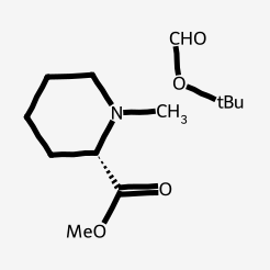 CC(C)(C)OC=O.COC(=O)[C@@H]1CCCCN1C